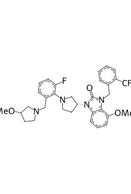 COc1cccc2c1n(Cc1ccccc1C(F)(F)F)c(=O)n2[C@@H]1CCN(c2c(F)cccc2CN2CCC(OC)C2)C1